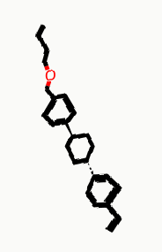 C=Cc1ccc([C@H]2CC[C@H](c3ccc(COCCCC)cc3)CC2)cc1